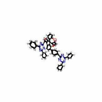 c1ccc(-c2nc(-c3ccccc3)nc(-c3ccc(-c4ccc5c(c4)C4(c6ccccc6Oc6ccccc64)c4cccc(-c6nc(-c7ccccc7)nc(-c7ccccc7)n6)c4-5)cc3)n2)cc1